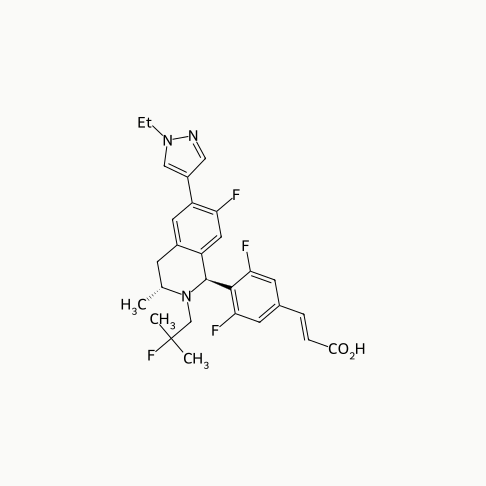 CCn1cc(-c2cc3c(cc2F)[C@@H](c2c(F)cc(/C=C/C(=O)O)cc2F)N(CC(C)(C)F)[C@H](C)C3)cn1